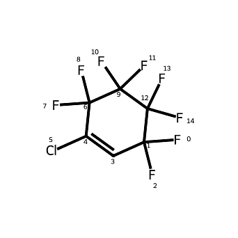 FC1(F)C=C(Cl)C(F)(F)C(F)(F)C1(F)F